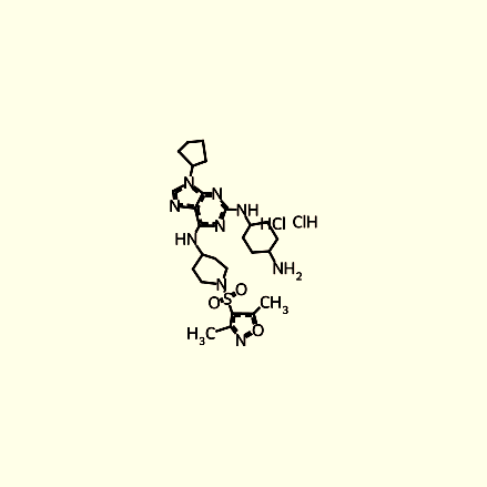 Cc1noc(C)c1S(=O)(=O)N1CCC(Nc2nc(NC3CCC(N)CC3)nc3c2ncn3C2CCCC2)CC1.Cl.Cl